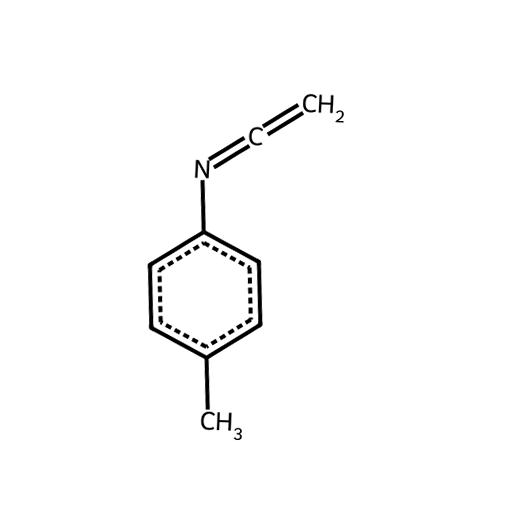 C=C=Nc1ccc(C)cc1